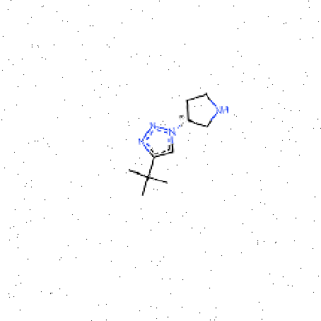 CC(C)(C)c1cn([C@@H]2CCNC2)nn1